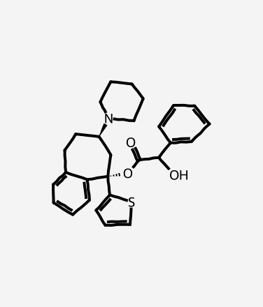 O=C(O[C@@]1(c2cccs2)C[C@H](N2CCCCC2)CCc2ccccc21)C(O)c1ccccc1